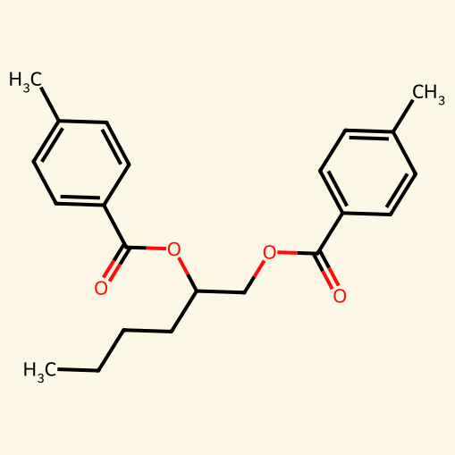 CCCCC(COC(=O)c1ccc(C)cc1)OC(=O)c1ccc(C)cc1